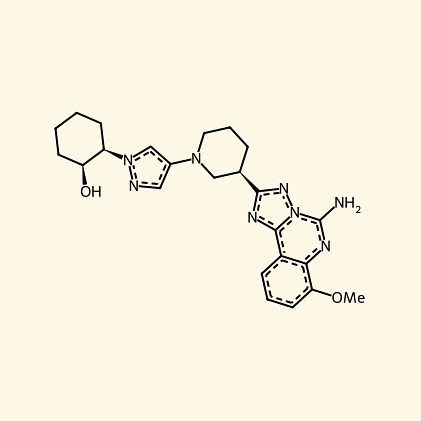 COc1cccc2c1nc(N)n1nc([C@@H]3CCCN(c4cnn([C@@H]5CCCC[C@@H]5O)c4)C3)nc21